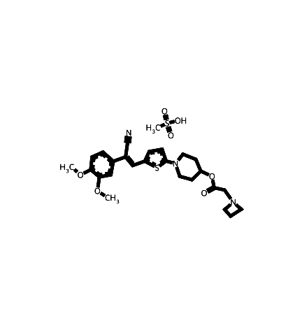 COc1ccc(C(C#N)=Cc2ccc(N3CCC(OC(=O)CN4CCC4)CC3)s2)cc1OC.CS(=O)(=O)O